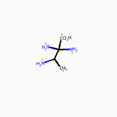 CC(N)C(N)(N)C(=O)O